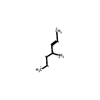 C/C=C/C(N)CCC